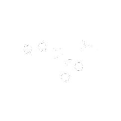 N=C(N)NCCC[C@H]1C(=O)N(C(c2ccccc2)c2ccccc2)CC[C@@H]2CN(Cc3ccc(-c4ccccc4)cc3)C(=O)N21